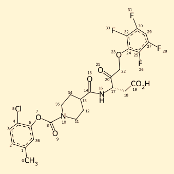 Cc1ccc(Cl)c(OC(=O)N2CCC(C(=O)N[C@@H](CC(=O)O)C(=O)COc3c(F)c(F)cc(F)c3F)CC2)c1